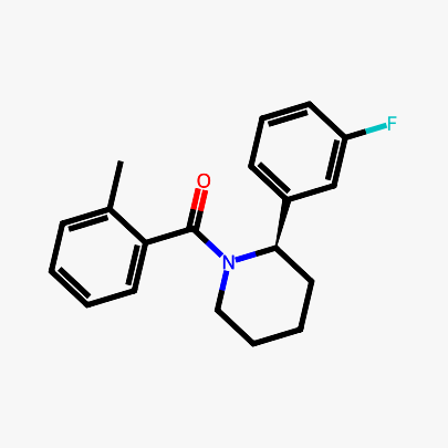 Cc1ccccc1C(=O)N1CCCC[C@@H]1c1cccc(F)c1